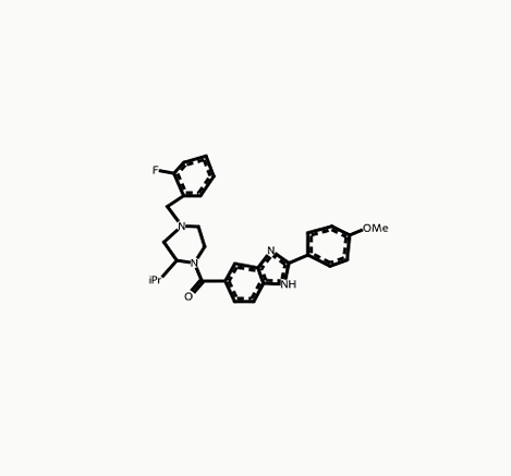 COc1ccc(-c2nc3cc(C(=O)N4CCN(Cc5ccccc5F)CC4C(C)C)ccc3[nH]2)cc1